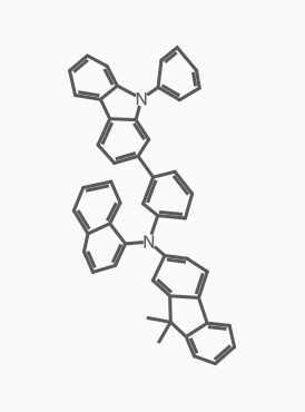 CC1(C)c2ccccc2-c2ccc(N(c3cccc(-c4ccc5c6ccccc6n(-c6ccccc6)c5c4)c3)c3cccc4ccccc34)cc21